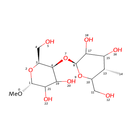 CO[C@@H]1O[C@@H](CO)[C@@H](O[C@@H]2OC(CO)[C@@H](C)C(O)C2O)C(O)C1O